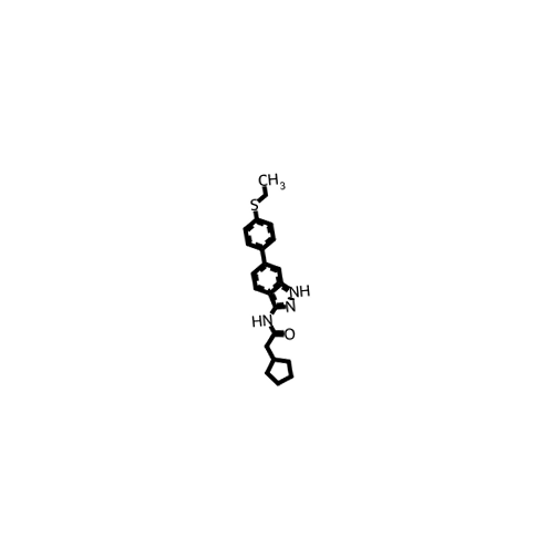 CCSc1ccc(-c2ccc3c(NC(=O)CC4CCCC4)n[nH]c3c2)cc1